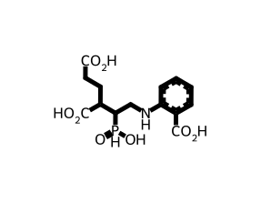 O=C(O)CCC(C(=O)O)C(CNc1ccccc1C(=O)O)[PH](=O)O